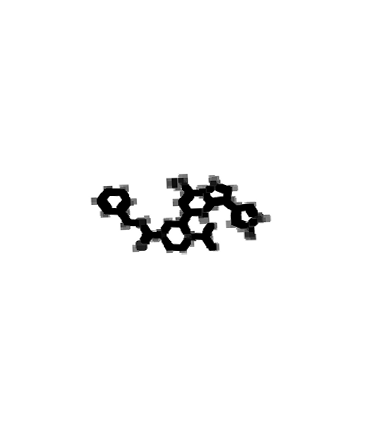 CC(C)N1CCN(C(=O)OCc2ccccc2)CC1c1cc(N)n2ncc(-c3cn[nH]c3)c2n1